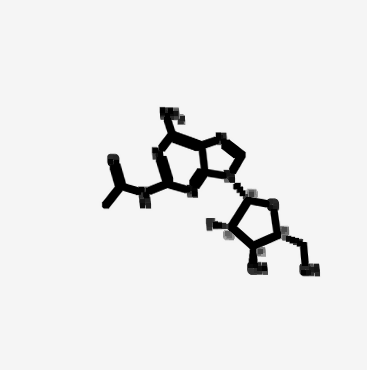 CC(=O)Nc1nc(N)c2ncn([C@@H]3O[C@H](CO)[C@@H](O)[C@@H]3F)c2n1